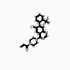 C=CC(=O)N1CCN(c2ncnc3cc(-c4ccccc4C(F)(F)F)c(Cl)cc23)CC1